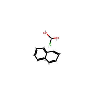 OB(O)Br.c1ccc2ccccc2c1